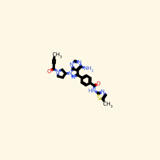 CC#CC(=O)N1CCC(n2nc(-c3ccc(C(=O)Nc4ncc(C)s4)cc3)c3c(N)ncnc32)C1